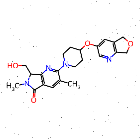 Cc1cc2c(nc1N1CCC(Oc3cnc4c(c3)COC4)CC1)C(CO)N(C)C2=O